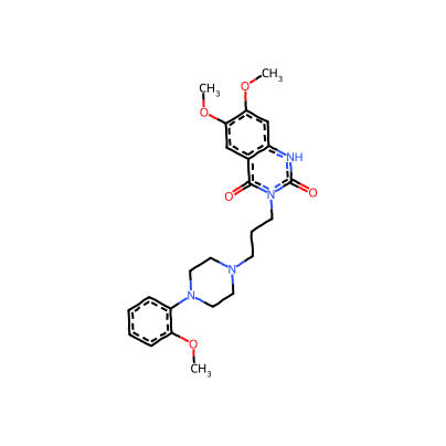 COc1cc2[nH]c(=O)n(CCCN3CCN(c4ccccc4OC)CC3)c(=O)c2cc1OC